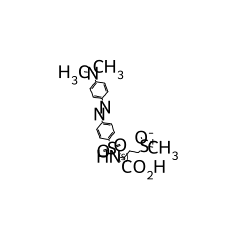 CN(C)c1ccc(N=Nc2ccc(S(=O)(=O)N[C@@H](CC[S+](C)[O-])C(=O)O)cc2)cc1